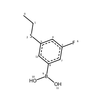 CCSc1cc(F)cc(B(O)O)c1